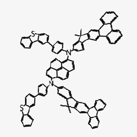 CC1(C)c2cc(N(c3ccc(-c4ccc5sc6ccccc6c5c4)cc3)c3ccc4ccc5c(N(c6ccc(-c7ccc8sc9ccccc9c8c7)cc6)c6ccc7c(c6)C(C)(C)c6cc8c9ccccc9c9ccccc9c8cc6-7)ccc6ccc3c4c65)ccc2-c2cc3c4ccccc4c4ccccc4c3cc21